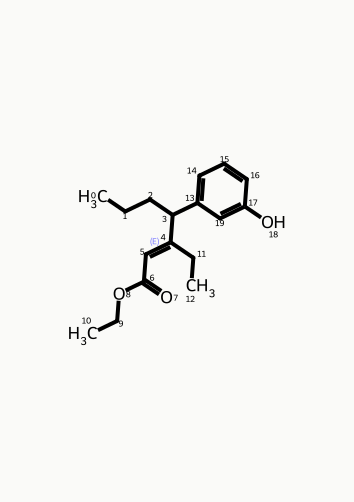 CCCC(/C(=C/C(=O)OCC)CC)c1cccc(O)c1